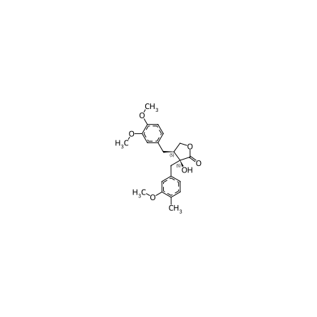 COc1cc(C[C@@]2(O)C(=O)OC[C@@H]2Cc2ccc(OC)c(OC)c2)ccc1C